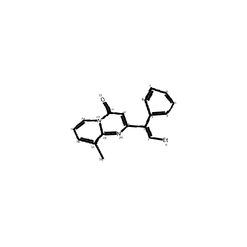 CCC=C(c1ccccc1)c1cc(=O)n2cccc(C)c2n1